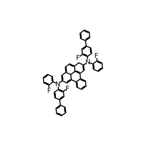 Fc1ccccc1N(C1=CC2=CC=C3CC(N(c4ccccc4F)c4ccc(-c5ccccc5)cc4F)=CC4=C3C2C(=C1)c1ccccc14)c1ccc(-c2ccccc2)cc1F